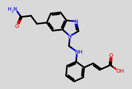 NC(=O)CCc1ccc2ncn(CNc3ccccc3/C=C/C(=O)O)c2c1